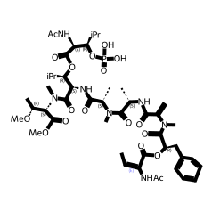 C=C(C(=O)N[C@@H](C)C(=O)N(C)[C@@H](C)C(=O)N[C@H](C(=O)N(C)[C@H](C(=O)OC)[C@@H](C)OC)[C@H](OC(=O)[C@@H](NC(C)=O)[C@H](OP(=O)(O)O)C(C)C)C(C)C)N(C)C(=O)[C@@H](Cc1ccccc1)OC(=O)/C(=C\C)NC(C)=O